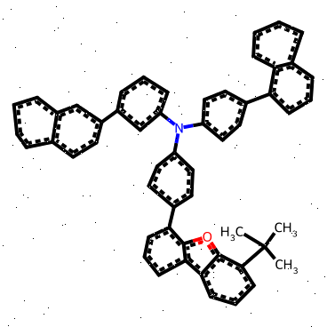 CC(C)(C)c1cccc2c1oc1c(-c3ccc(N(c4ccc(-c5cccc6ccccc56)cc4)c4cccc(-c5ccc6ccccc6c5)c4)cc3)cccc12